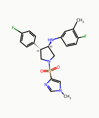 Cc1cc(N[C@H]2CN(S(=O)(=O)c3cn(C)cn3)C[C@@H]2c2ccc(F)cc2)ccc1F